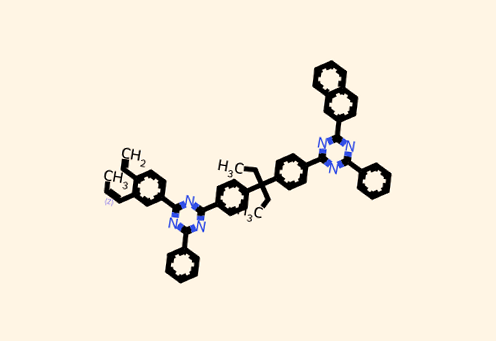 C=Cc1ccc(-c2nc(-c3ccccc3)nc(-c3ccc(C(CC)(CC)c4ccc(-c5nc(-c6ccccc6)nc(-c6ccc7ccccc7c6)n5)cc4)cc3)n2)cc1/C=C\C